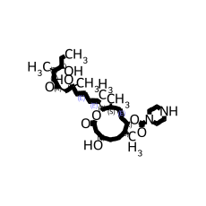 CC[C@H](O)[C@@H](C)[C@H]1O[C@@H]1C[C@@](C)(O)/C=C/C=C(\C)[C@H]1OC(=O)C[C@H](O)CC[C@H](C)[C@@H](OC(=O)N2CCNCC2)/C=C/[C@@H]1C